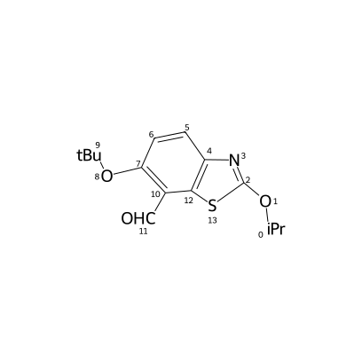 CC(C)Oc1nc2ccc(OC(C)(C)C)c(C=O)c2s1